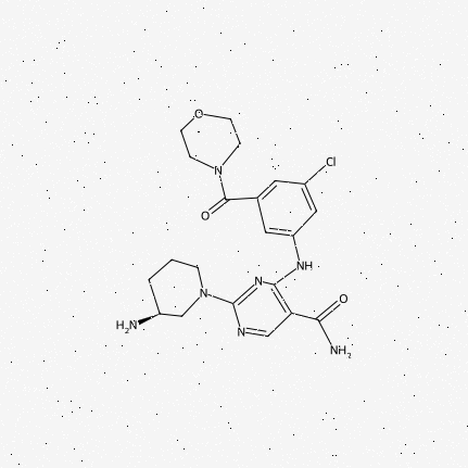 NC(=O)c1cnc(N2CCC[C@H](N)C2)nc1Nc1cc(Cl)cc(C(=O)N2CCOCC2)c1